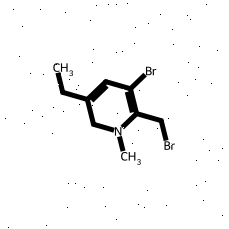 CCC1=CC(Br)=C(CBr)N(C)C1